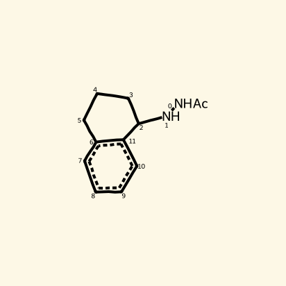 CC(=O)NNC1CCCc2ccccc21